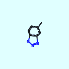 Cc1ccc2c(c1)N=N[N]2